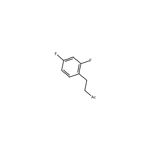 CC(=O)CCc1ccc(F)cc1F